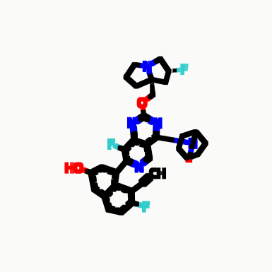 C#Cc1c(F)ccc2cc(O)cc(-c3ncc4c(N5CC6CCC(CC6)C5)nc(OC[C@@]56CCCN5C[C@H](F)C6)nc4c3F)c12